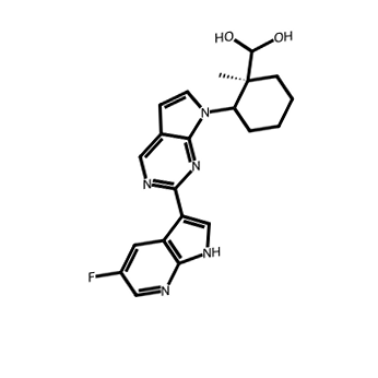 C[C@]1(C(O)O)CCCCC1n1ccc2cnc(-c3c[nH]c4ncc(F)cc34)nc21